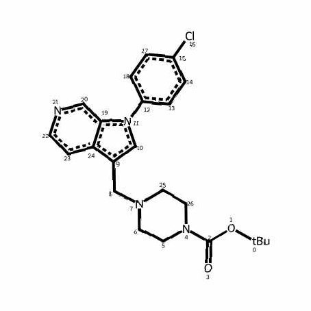 CC(C)(C)OC(=O)N1CCN(Cc2cn(-c3ccc(Cl)cc3)c3cnccc23)CC1